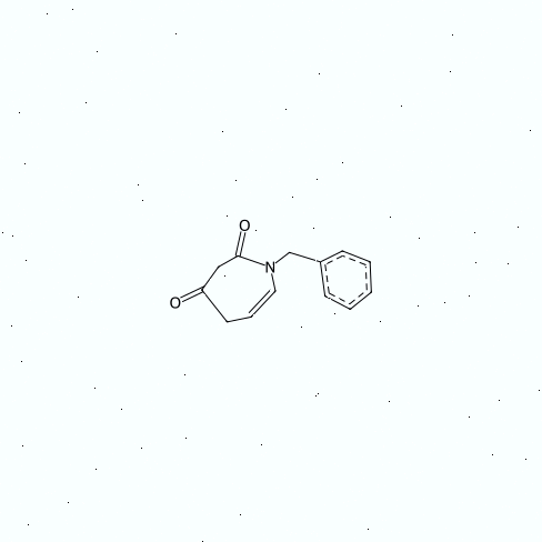 O=C1CC=CN(Cc2ccccc2)C(=O)C1